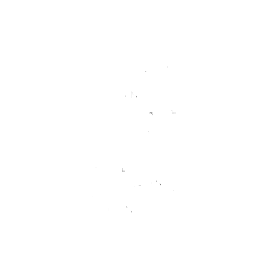 Nc1ncccc1C#Cc1ccccn1